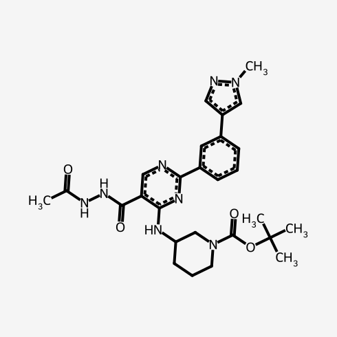 CC(=O)NNC(=O)c1cnc(-c2cccc(-c3cnn(C)c3)c2)nc1NC1CCCN(C(=O)OC(C)(C)C)C1